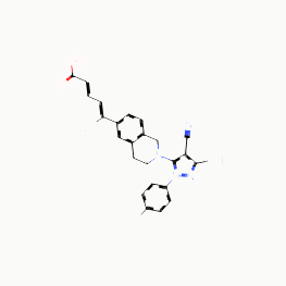 C/C(=C\C=C\C(=O)O)c1ccc2c(c1)CCN(c1c(C#N)c(C)nn1-c1ccc(C)cc1)C2